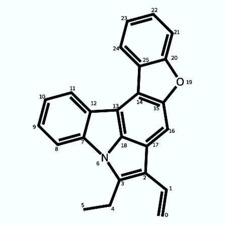 C=Cc1c(CC)n2c3ccccc3c3c4c(cc1c32)oc1ccccc14